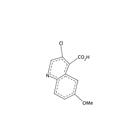 COc1ccc2ncc(Cl)c(C(=O)O)c2c1